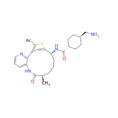 CC(=O)c1sc2cc1-c1ncccc1NC(=O)[C@H](C)CCC[C@@H]2NC(=O)[C@H]1CC[C@H](CN)CC1